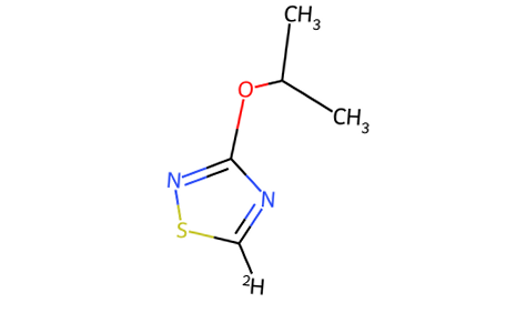 [2H]c1nc(OC(C)C)ns1